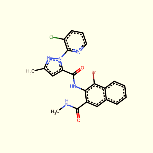 CNC(=O)c1cc2ccccc2c(Br)c1NC(=O)c1cc(C)nn1-c1ncccc1Cl